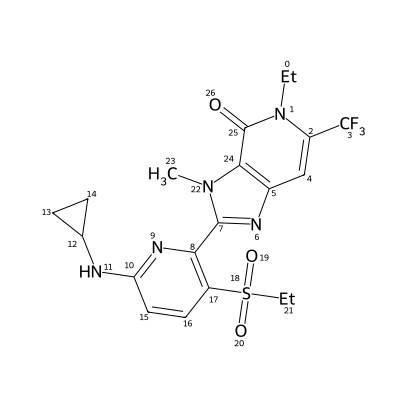 CCn1c(C(F)(F)F)cc2nc(-c3nc(NC4CC4)ccc3S(=O)(=O)CC)n(C)c2c1=O